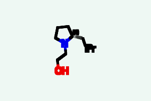 CC(C)C[C@H]1CCCN1CCO